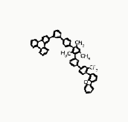 Cc1cc(C)c(-c2cccc(-c3ccc(-c4cccc5c4oc4ccccc45)c(C(F)(F)F)c3)c2)c(C)c1-c1ccc(-c2cccc(-c3ccc4c5ccccc5c5ccccc5c4c3)c2)cc1